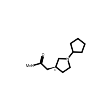 CNC(=O)C[C@@H]1CCN(C2CCCC2)C1